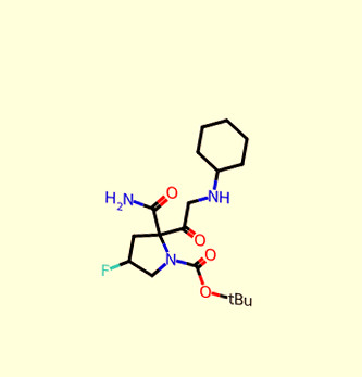 CC(C)(C)OC(=O)N1CC(F)CC1(C(N)=O)C(=O)CNC1CCCCC1